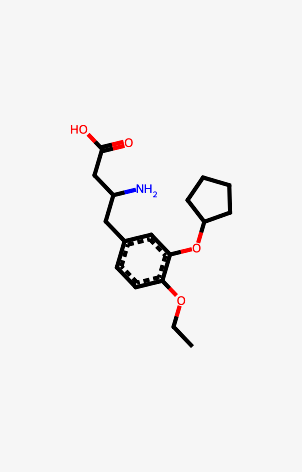 CCOc1ccc(CC(N)CC(=O)O)cc1OC1CCCC1